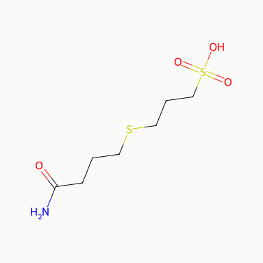 NC(=O)CCCSCCCS(=O)(=O)O